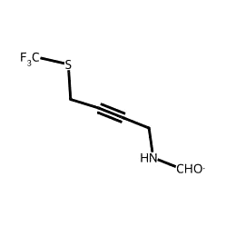 O=[C]NCC#CCSC(F)(F)F